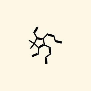 C=C/C=C\C1=C(C=C)C(C)(C)C(C=C)=C1/C=C\C=C